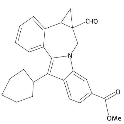 COC(=O)c1ccc2c(C3CCCCC3)c3n(c2c1)CC1(C=O)CC1c1ccccc1-3